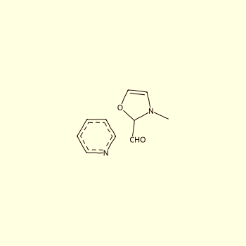 CN1C=COC1C=O.c1ccncc1